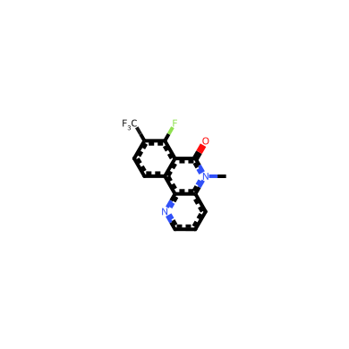 Cn1c(=O)c2c(F)c(C(F)(F)F)ccc2c2ncccc21